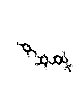 CS(=O)(=O)N1CNc2ccc(Cn3cnc(OCc4ccc(F)cc4F)c(Cl)c3=O)cc21